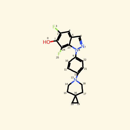 Oc1c(F)cc2cnn(-c3ccc(N4CCC5(CC4)CC5)cc3)c2c1F